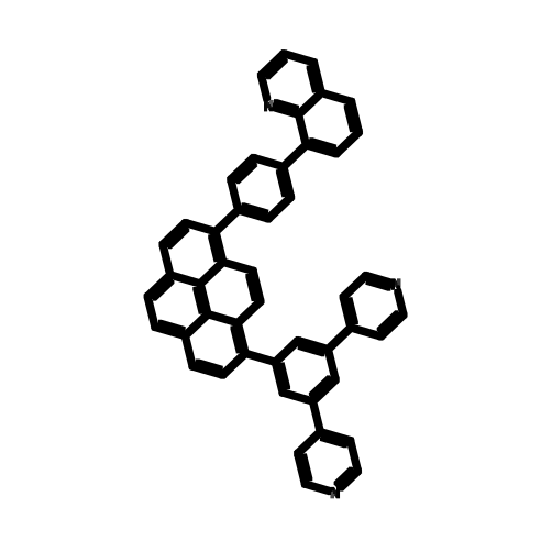 c1cnc2c(-c3ccc(-c4ccc5ccc6ccc(-c7cc(-c8ccncc8)cc(-c8ccncc8)c7)c7ccc4c5c67)cc3)cccc2c1